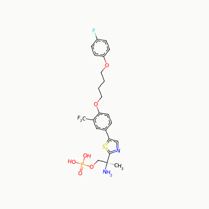 C[C@](N)(COP(=O)(O)O)c1ncc(-c2ccc(OCCCCOc3ccc(F)cc3)c(C(F)(F)F)c2)s1